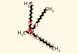 C=CC[Si](OCCCOCCCCCCCCCC)(OCCCOCCCCCCCCCC)OCCCOCCCCCCCCCC